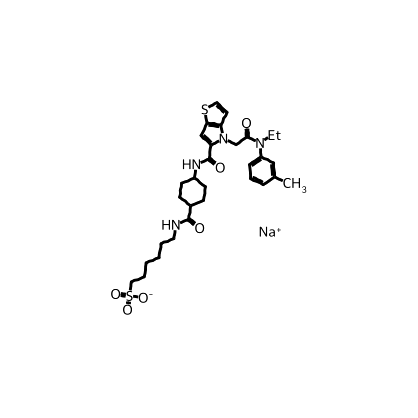 CCN(C(=O)Cn1c(C(=O)NC2CCC(C(=O)NCCCCCCS(=O)(=O)[O-])CC2)cc2sccc21)c1cccc(C)c1.[Na+]